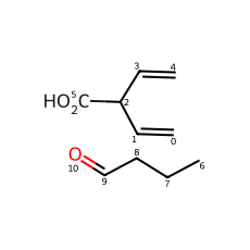 C=CC(C=C)C(=O)O.CCCC=O